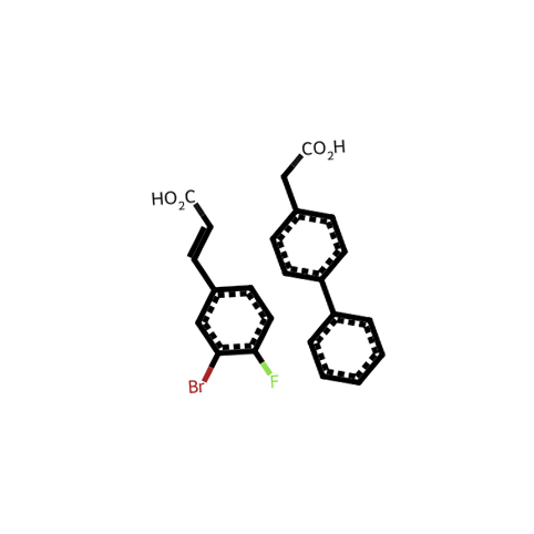 O=C(O)/C=C/c1ccc(F)c(Br)c1.O=C(O)Cc1ccc(-c2ccccc2)cc1